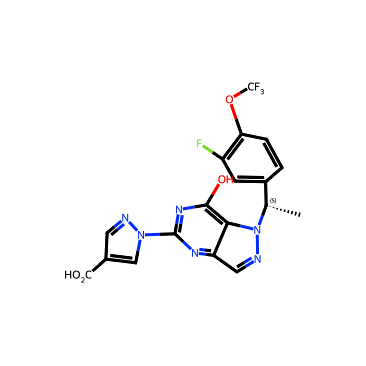 C[C@@H](c1ccc(OC(F)(F)F)c(F)c1)n1ncc2nc(-n3cc(C(=O)O)cn3)nc(O)c21